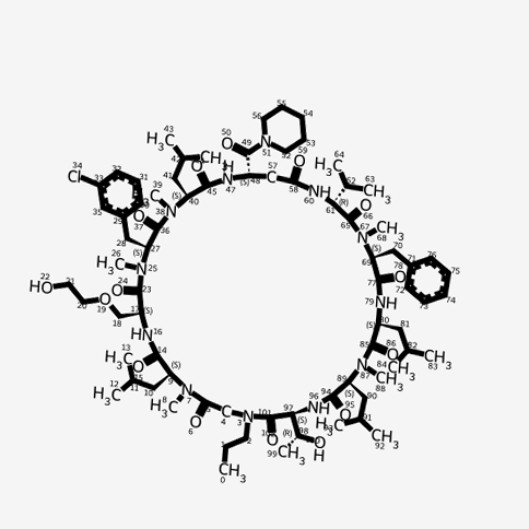 CCCN1CC(=O)N(C)[C@@H](CC(C)C)C(=O)N[C@@H](COCCO)C(=O)N(C)[C@@H](Cc2cccc(Cl)c2)C(=O)N(C)[C@@H](CC(C)C)C(=O)N[C@H](C(=O)N2CCCCC2)CC(=O)N[C@H](C(C)C)C(=O)N(C)[C@@H](Cc2ccccc2)C(=O)N[C@@H](CC(C)C)C(=O)N(C)[C@@H](CC(C)C)C(=O)N[C@@H]([C@@H](C)O)C1=O